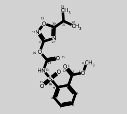 COC(=O)c1ccccc1S(=O)(=O)NC(=O)Oc1noc(C(C)C)n1